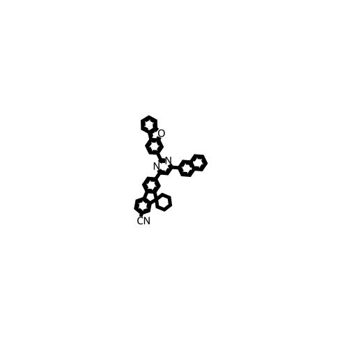 N#Cc1ccc2c(c1)C1(CCCCC1)c1cc(-c3cc(-c4ccc5ccccc5c4)nc(-c4ccc5c(c4)oc4ccccc45)n3)ccc1-2